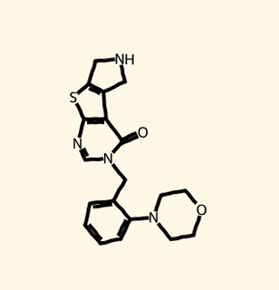 O=c1c2c3c(sc2ncn1Cc1ccccc1N1CCOCC1)CNC3